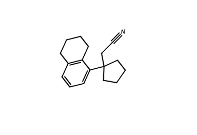 N#CCC1(c2cccc3c2CCCC3)CCCC1